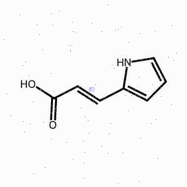 O=C(O)/C=C/c1ccc[nH]1